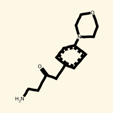 NCCC(=O)Cc1ccc(N2CCOCC2)cc1